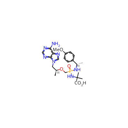 COc1ccc([C@H](C)NP(=O)(CO[C@@H](C)Cn2cnc3c(N)ncnc32)NC(C)(C)C(=O)O)cc1